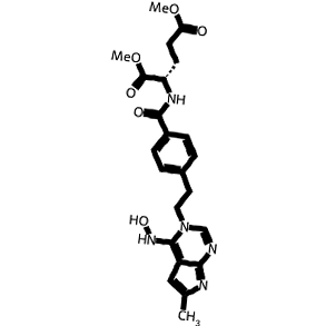 COC(=O)CC[C@H](NC(=O)c1ccc(CCn2cnc3nc(C)cc-3c2NO)cc1)C(=O)OC